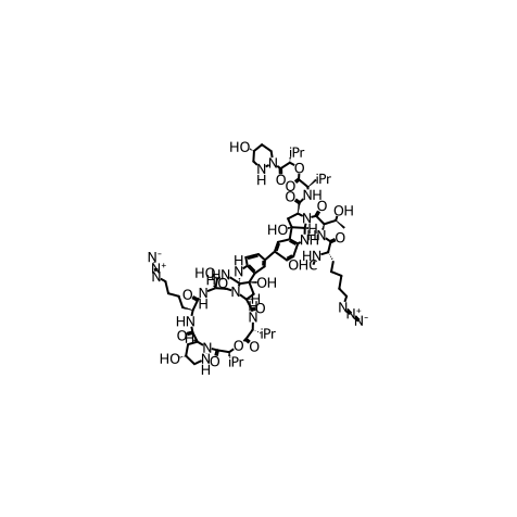 CC(C)[C@H](OC(=O)[C@H](NC(=O)[C@@H]1C[C@@]2(O)c3cc(-c4ccc5c(c4)[C@]4(O)C[C@H]6C(=O)N[C@H](C(C)C)C(=O)O[C@@H](C(C)C)C(=O)N7NC[C@H](O)C[C@@H]7C(=O)N[C@@H](CCCCN=[N+]=[N-])C(=O)N[C@H]7C(=O)N6[C@@]4(N5)N[C@@H]7O)ccc3N[C@H]2N1C(=O)[C@H](NC(=O)[C@H](CCCCCN=[N+]=[N-])NC=O)[C@H](C)O)C(C)C)C(=O)N1CC[C@@H](O)CN1